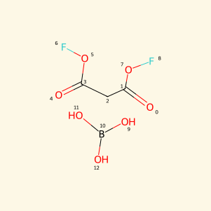 O=C(CC(=O)OF)OF.OB(O)O